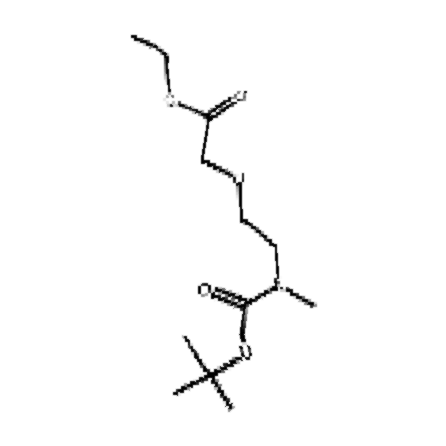 CCOC(=O)COCCN(C)C(=O)OC(C)(C)C